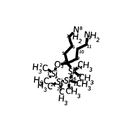 C[Si]1(C)OC(CCCN)(CCCN)[Si](C)(C)[Si](C)(C)[Si]1(C)C